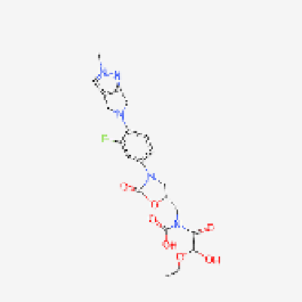 CCOC(O)C(=O)N(C[C@H]1CN(c2ccc(N3Cc4cn(C)nc4C3)c(F)c2)C(=O)O1)C(=O)O